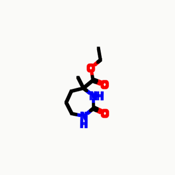 CCOC(=O)C1(C)CCCNC(=O)N1